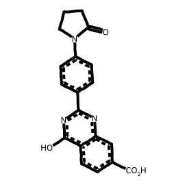 O=C(O)c1ccc2c(O)nc(-c3ccc(N4CCCC4=O)cc3)nc2c1